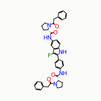 O=C(Nc1ccc(-c2[nH]c3ccc(NC(=O)[C@@H]4CCCN4C(=O)Cc4ccccc4)cc3c2F)cc1)[C@@H]1CCCN1C(=O)Cc1ccccc1